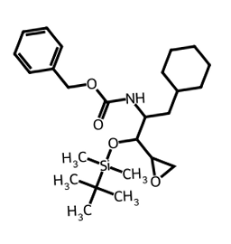 CC(C)(C)[Si](C)(C)OC(C(CC1CCCCC1)NC(=O)OCc1ccccc1)C1CO1